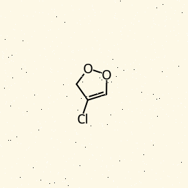 ClC1=COOC1